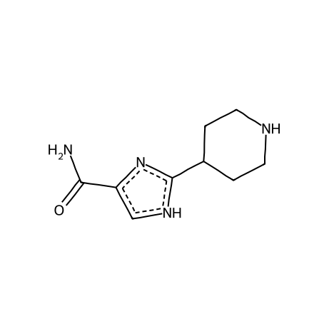 NC(=O)c1c[nH]c(C2CCNCC2)n1